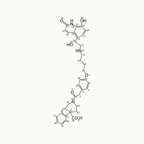 O=C(Cc1ccc(OCCCCNC[C@H](O)c2ccc(O)c3[nH]c(=O)ccc23)cc1)N1CCC(C(=O)O)(c2ccccc2)CC1